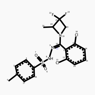 Cc1ccc(S(=O)(=O)N/N=C(\c2c(Cl)cccc2Cl)N2CC(F)(F)C2C)cc1